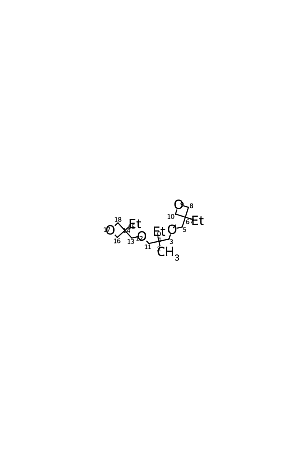 CCC(C)(COCC1(CC)COC1)COCC1(CC)COC1